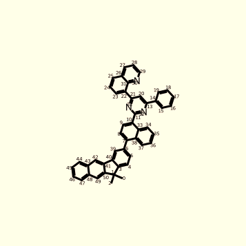 CC1(C)c2ccc(-c3ccc(-c4nc(-c5ccccc5)cc(-c5cccc6cccnc56)n4)c4ccccc34)cc2-c2cc3ccccc3cc21